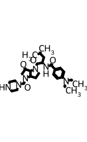 CCN(CC)c1ccc(C(=O)NC(CC(C)C)C(=O)N2CCC3C2C(=O)CN3C(=O)N2CCNCC2)cc1